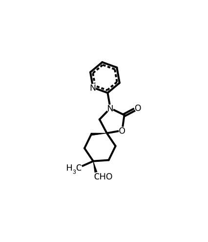 C[C@]1(C=O)CC[C@@]2(CC1)CN(c1ccccn1)C(=O)O2